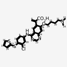 C=C(C(=O)O)c1cc2c(Nc3ccc(Sc4cccs4)c(Cl)c3)ncnc2cc1OCCCCN(C)C